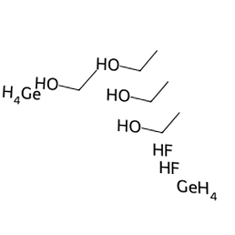 CCO.CCO.CCO.CCO.F.F.[GeH4].[GeH4]